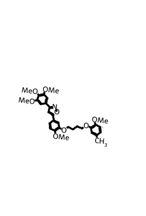 COc1[c]cc(C)cc1OCCCCOc1cc(-c2cc(-c3cc(OC)c(OC)c(OC)c3)no2)ccc1OC